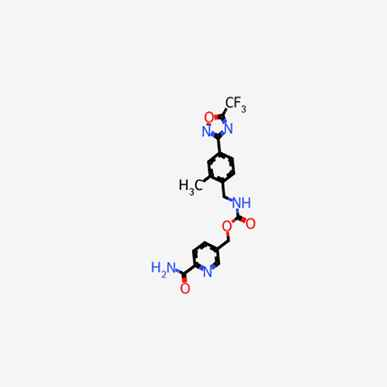 Cc1cc(-c2noc(C(F)(F)F)n2)ccc1CNC(=O)OCc1ccc(C(N)=O)nc1